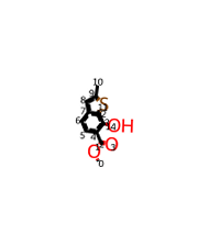 COC(=O)c1ccc2cc(C)sc2c1O